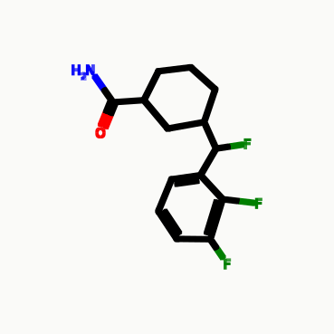 NC(=O)C1CCCC(C(F)c2cccc(F)c2F)C1